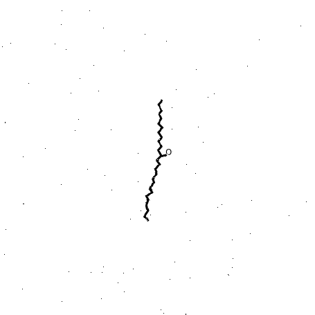 CCCCCCCCCCCCCCC(C[O])CCCCCCCCCCCC